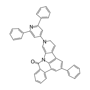 O=c1c2ccccc2c2cc(-c3ccccc3)cc3c4c(n1c32)=CN(c1cc(-c2ccccc2)nc(-c2ccccc2)c1)CC=4